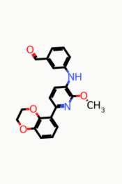 COc1nc(-c2cccc3c2OCCO3)ccc1Nc1cccc(C=O)c1